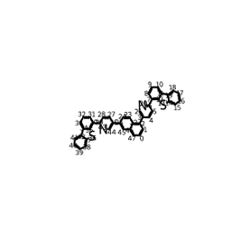 c1cc(-c2ccc(-c3cccc4c3sc3ccccc34)nc2)c2ccc(-c3ccc(-c4cccc5c4sc4ccccc45)nc3)cc2c1